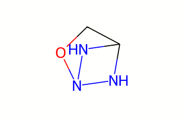 C1ON2NC1N2